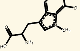 Cn1cc(CC(N)C(=O)O)c2c1=C(Cl)CCC=2